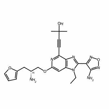 CCn1c(-c2nonc2N)nc2c(C#CC(C)(C)O)nc(OC[C@H](N)Cc3ccco3)cc21